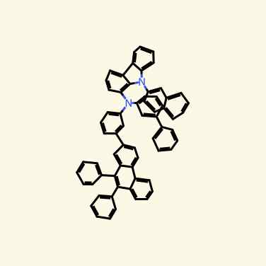 c1ccc(-c2cccc(N(c3cccc(-c4ccc5c(c4)c(-c4ccccc4)c(-c4ccccc4)c4ccccc45)c3)c3cccc4c5ccccc5n(-c5ccc6ccccc6c5)c34)c2)cc1